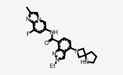 CCn1cc2c(N3CC4(CCCN4)C3)ccc(C(=O)Nc3cc(F)c4nc(C)cn4c3)c2n1